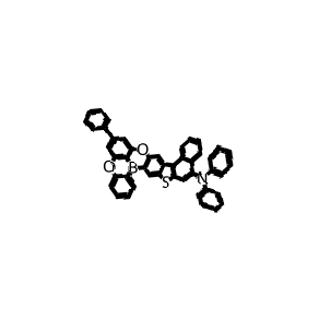 c1ccc(-c2cc3c4c(c2)Oc2cc5c(cc2B4c2ccccc2O3)sc2cc(N(c3ccccc3)c3ccccc3)c3ccccc3c25)cc1